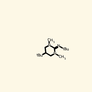 CN1CC(C(C)(C)C)CN(C)C1=NC(C)(C)C